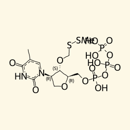 CSSCO[C@H]1[C@H](n2cc(C)c(=O)[nH]c2=O)CO[C@@H]1COP(=O)(O)OP(=O)(O)OP(=O)(O)O